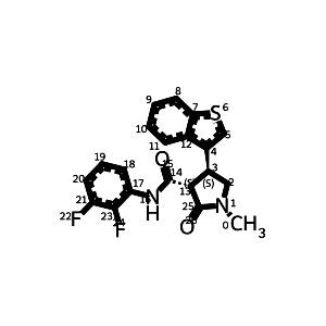 CN1C[C@H](c2csc3ccccc23)[C@@H](C(=O)Nc2cccc(F)c2F)C1=O